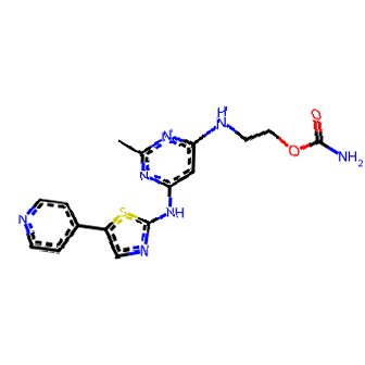 Cc1nc(NCCOC(N)=O)cc(Nc2ncc(-c3ccncc3)s2)n1